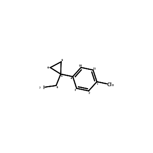 Clc1ccc(C2(CI)CC2)cc1